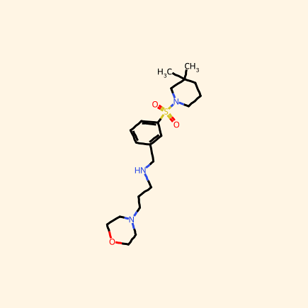 CC1(C)CCCN(S(=O)(=O)c2cccc(CNCCCN3CCOCC3)c2)C1